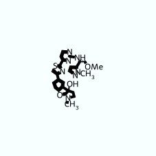 COC[C@H](Nc1nccc(-c2nc(-c3cccc([C@]4(O)CCN(C)C4=O)c3)cs2)n1)c1ccnn1C